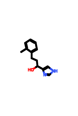 Cc1ccccc1CCC(O)c1c[nH]cn1